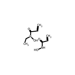 C=CC(=O)N(O)CC.C=CC(=O)NO